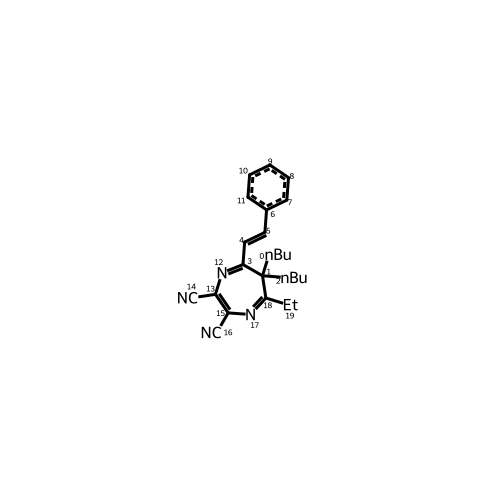 CCCCC1(CCCC)C(C=Cc2ccccc2)=NC(C#N)=C(C#N)N=C1CC